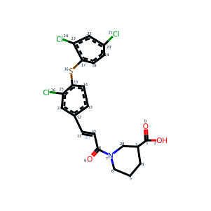 O=C(O)C1CCCN(C(=O)/C=C/c2ccc(Sc3ccc(Cl)cc3Cl)c(Cl)c2)C1